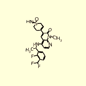 C[C@@H](Nc1ccnc2c1cc(C1=CCS(=N)(=O)CC1)c(=O)n2C)c1cccc(C(F)F)c1F